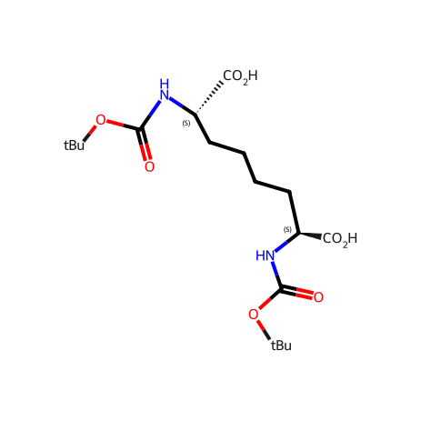 CC(C)(C)OC(=O)N[C@@H](CCCC[C@H](NC(=O)OC(C)(C)C)C(=O)O)C(=O)O